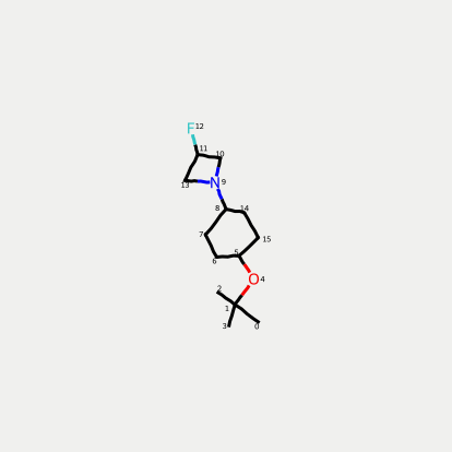 CC(C)(C)OC1CCC(N2CC(F)C2)CC1